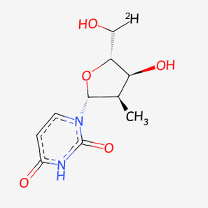 [2H]C(O)[C@H]1O[C@@H](n2ccc(=O)[nH]c2=O)[C@H](C)[C@@H]1O